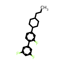 CCCC1CCC(c2ccc(-c3cc(F)cc(F)c3)c(F)c2)CC1